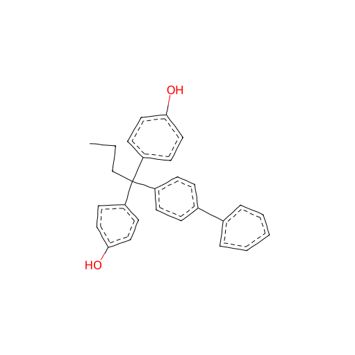 CCCC(c1ccc(O)cc1)(c1ccc(O)cc1)c1ccc(-c2ccccc2)cc1